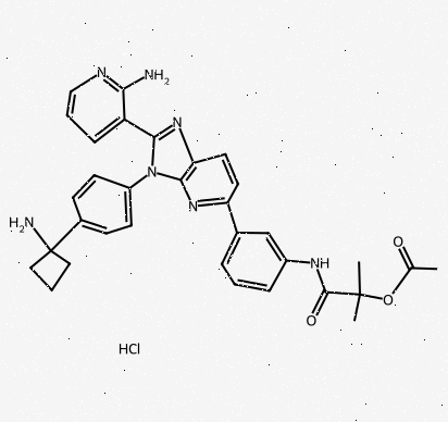 CC(=O)OC(C)(C)C(=O)Nc1cccc(-c2ccc3nc(-c4cccnc4N)n(-c4ccc(C5(N)CCC5)cc4)c3n2)c1.Cl